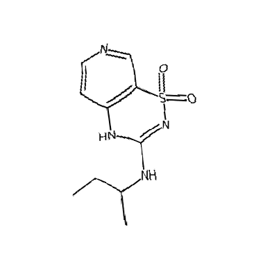 CCC(C)NC1=NS(=O)(=O)c2cnccc2N1